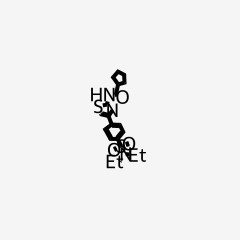 CCN(CC)S(=O)(=O)c1ccc(-c2csc(NC(=O)C3CCCC3)n2)cc1